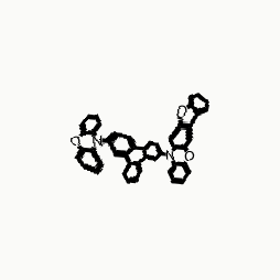 c1ccc2c(c1)Oc1ccccc1N2c1ccc2c3ccc(N4c5ccccc5Oc5cc6c(cc54)oc4ccccc46)cc3c3ccccc3c2c1